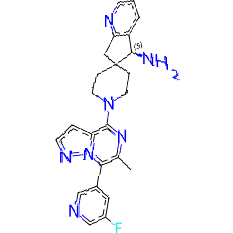 Cc1nc(N2CCC3(CC2)Cc2ncccc2[C@H]3N)c2ccnn2c1-c1cncc(F)c1